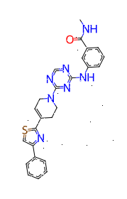 CNC(=O)c1cccc(Nc2ncnc(N3CC=C(c4nc(-c5ccccc5)cs4)CC3)n2)c1